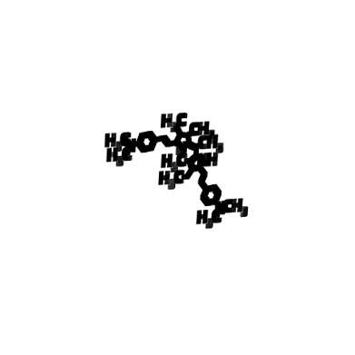 CCc1c(/C=C/c2ccc(N(C)C)cc2)[nH]c(/C(C)=C2N=C(/C=C/c3ccc(N(C)C)cc3)C(CC)C\2C)c1C